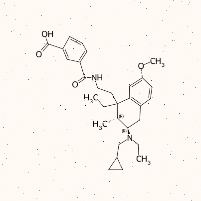 CCN(CC1CC1)[C@@H]1Cc2ccc(OC)cc2C(CC)(CCNC(=O)c2cccc(C(=O)O)c2)[C@H]1C